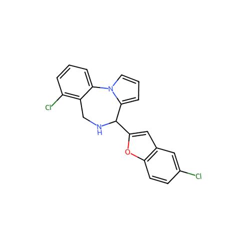 Clc1ccc2oc(C3NCc4c(Cl)cccc4-n4cccc43)cc2c1